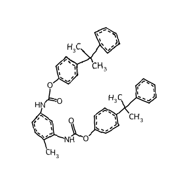 Cc1ccc(NC(=O)Oc2ccc(C(C)(C)c3ccccc3)cc2)cc1NC(=O)Oc1ccc(C(C)(C)c2ccccc2)cc1